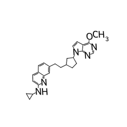 COc1ncnc2c1ccn2C1CCC(CCc2ccc3ccc(NC4CC4)nc3c2)C1